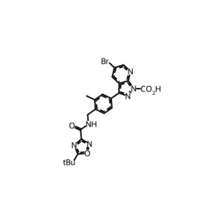 Cc1cc(-c2nn(C(=O)O)c3ncc(Br)cc23)ccc1CNC(=O)c1noc(C(C)(C)C)n1